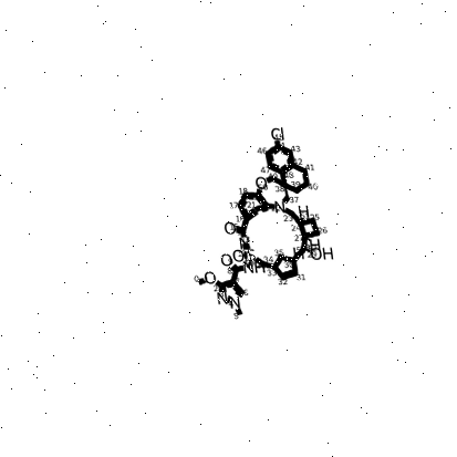 COc1nn(C)cc1C(=O)N[S@@]1(=O)=NC(=O)c2ccc3c(c2)N(C[C@@H]2CC[C@H]2[C@@H](O)[C@H]2C=C[C@@](C)(C2)C1)C[C@@]1(CCCc2cc(Cl)ccc21)CO3